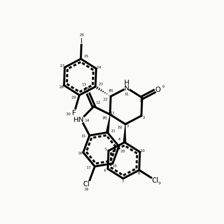 O=C1C[C@@H](c2cccc(Cl)c2)[C@]2(C(=O)Nc3cc(Cl)ccc32)[C@H](c2cc(I)ccc2F)N1